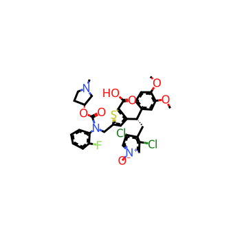 COc1ccc([C@H](Cc2c(Cl)c[n+]([O-])cc2Cl)c2cc(CN(C(=O)O[C@@H]3CCN(C)C3)c3ccccc3F)sc2C(=O)O)cc1OC